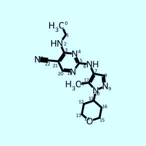 CCNc1nc(Nc2cnn(C3CCOCC3)c2C)ncc1C#N